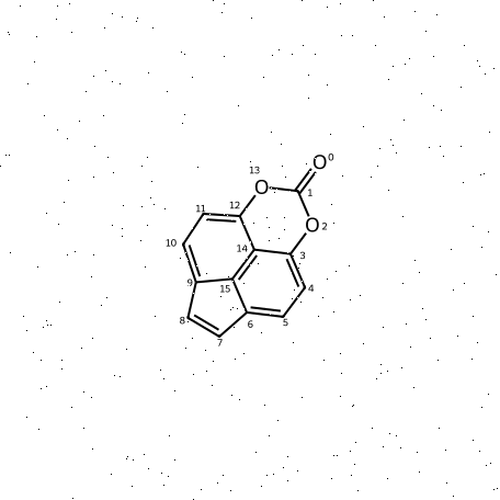 O=c1oc2ccc3ccc4ccc(o1)c2c34